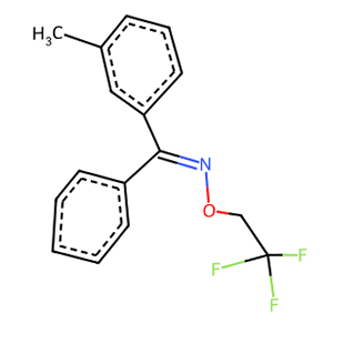 Cc1cccc(C(=NOCC(F)(F)F)c2ccccc2)c1